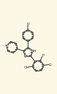 Clc1ccc(-c2[nH]c(-c3c(Cl)ccc(Cl)c3Cl)nc2-c2ccncc2)cc1